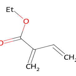 C=CC(=C)C(=O)OCC